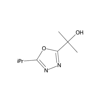 CC(C)c1nnc(C(C)(C)O)o1